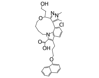 Cc1c2c(nn1C)C(CCO)OCCCCn1c(C(=O)O)c(CCCOc3cccc4ccccc34)c3ccc(Cl)c-2c31